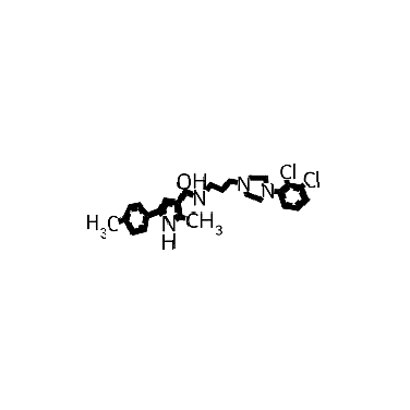 Cc1ccc(-c2cc(C(=O)NCCCN3CCN(c4cccc(Cl)c4Cl)CC3)c(C)[nH]2)cc1